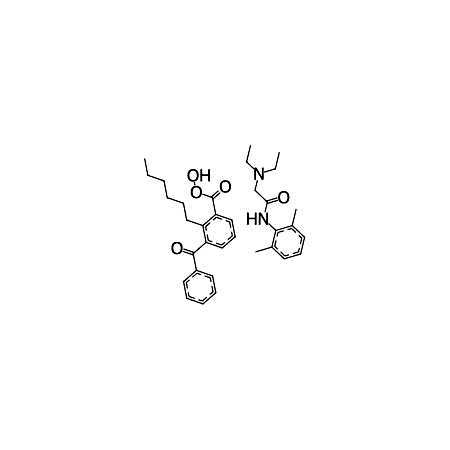 CCCCCCc1c(C(=O)OO)cccc1C(=O)c1ccccc1.CCN(CC)CC(=O)Nc1c(C)cccc1C